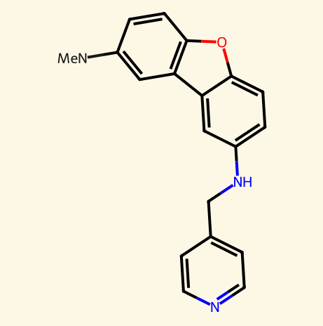 CNc1ccc2oc3ccc(NCc4ccncc4)cc3c2c1